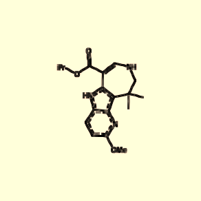 COc1ccc2[nH]c3c(c2n1)C(C)(C)CNC=C3C(=O)OC(C)C